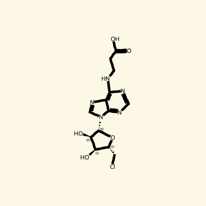 O=C(O)CCNc1ncnc2c1ncn2[C@@H]1O[C@H](CCl)[C@@H](O)[C@H]1O